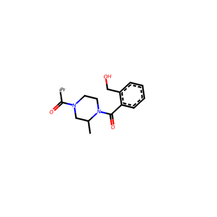 CC(C)C(=O)N1CCN(C(=O)c2ccccc2CO)C(C)C1